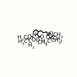 COC(=O)C1C(CCCB2OC(C)(C)C(C)(C)O2)CCN1C(=O)OC(C)(C)C